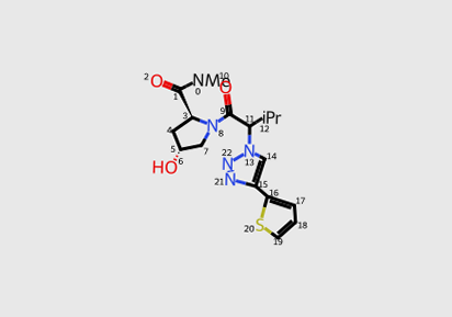 CNC(=O)[C@@H]1C[C@@H](O)CN1C(=O)C(C(C)C)n1cc(-c2cccs2)nn1